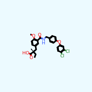 CC[C@@](C)(Cc1ccc(OC)c(C(=O)NCc2ccc(Oc3ccc(Cl)c(Cl)c3)cc2)c1)C(=O)O